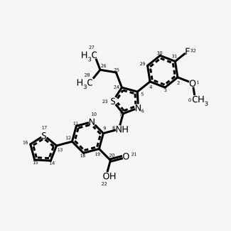 COc1cc(-c2nc(Nc3ncc(-c4cccs4)cc3C(=O)O)sc2CC(C)C)ccc1F